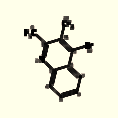 FC(F)(F)c1nc2ccccc2c(Br)c1C(F)(F)F